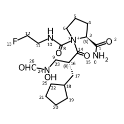 NC(=O)[C@@H]1CCC[N+]1(C(=O)NCCF)C(=O)[C@H](CC1CCCC1)CN(O)C=O